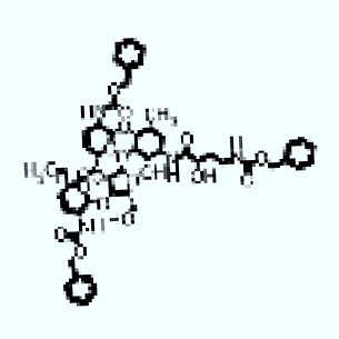 CC[C@@H]1C=C[C@@H](NC(=O)OCc2ccccc2)[C@@H](O[C@H]2[C@H](O[C@@H]3O[C@H](CO)[C@@H](O[C@H]4O[C@H](CC)C=C[C@H]4NC(=O)OCc4ccccc4)[C@H]3O)[C@@H](O)[C@H](NC(=O)[C@@H](O)CCNC(=O)OCc3ccccc3)C[C@@H]2C)O1